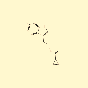 O=C(NOCc1c[nH]c2ccccc12)C1CC1